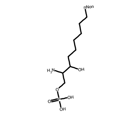 CCCCCCCCCCCCCCCC(O)C(N)COP(=O)(O)O